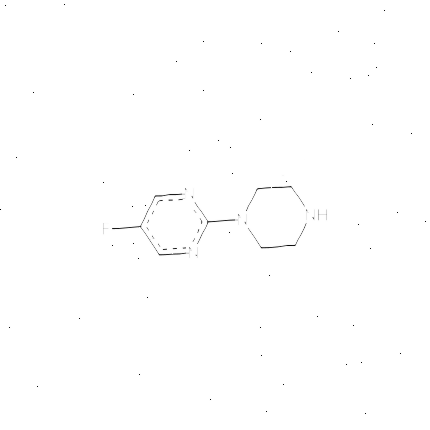 C[C@@H]1CN(c2ncc(F)cn2)C[C@H](C)N1